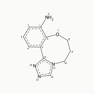 Nc1cccc2c1OCCCn1cnnc1-2